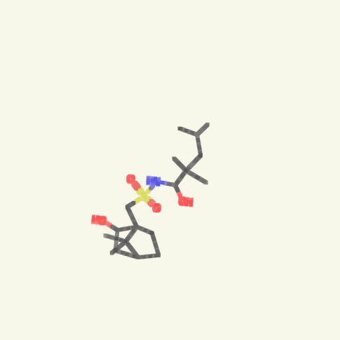 CC(C)CC(C)(C)C(O)NS(=O)(=O)CC12CCC(CC1O)C2(C)C